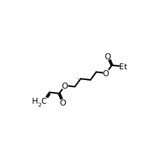 C=CC(=O)OC[CH]CCOC(=O)CC